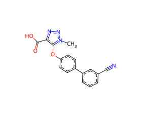 Cn1nnc(C(=O)O)c1Oc1ccc(-c2cccc(C#N)c2)cc1